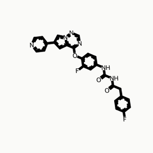 O=C(Cc1ccc(F)cc1)NC(=O)Nc1ccc(Oc2ncnn3cc(-c4ccncc4)cc23)c(F)c1